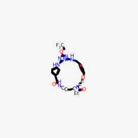 CCC(=O)N1CCCCNC(=O)c2ccc(cc2)Nc2nc(nc(OCC(F)(F)F)n2)NCc2ccc(cc2)OCC1